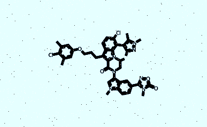 Cc1cc(OCCCc2c3n(c4c(-c5c(C)nn(C)c5C)c(Cl)ccc24)C(C)CN(c2cn(C)c4ccc(-c5noc(=O)n5C)cc24)C3=O)cc(C)c1Cl